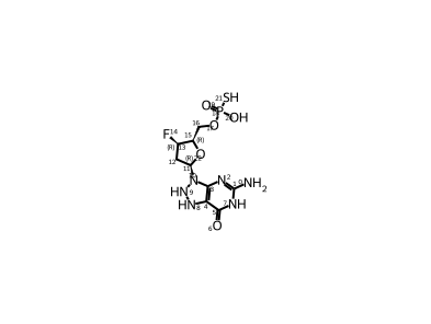 Nc1nc2c(c(=O)[nH]1)NNN2[C@H]1C[C@@H](F)[C@@H](COP(=O)(O)S)O1